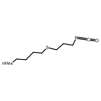 CCCCCCCCCCSCCCN=C=O